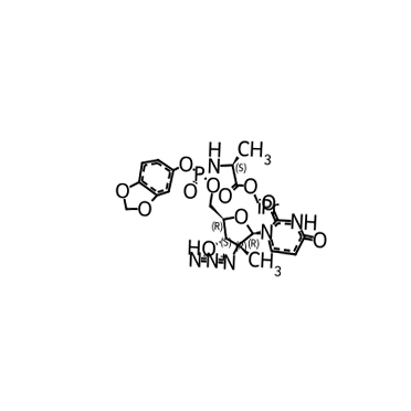 CC(C)OC(=O)[C@H](C)NP(=O)(OC[C@H]1O[C@@H](n2ccc(=O)[nH]c2=O)[C@](C)(N=[N+]=[N-])[C@@H]1O)Oc1ccc2c(c1)OCO2